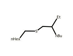 CCCCCCCSCC(CC)CCCC